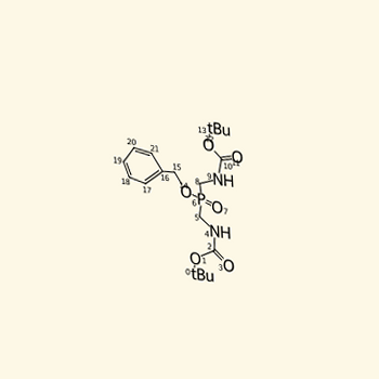 CC(C)(C)OC(=O)NCP(=O)(CNC(=O)OC(C)(C)C)OCc1ccccc1